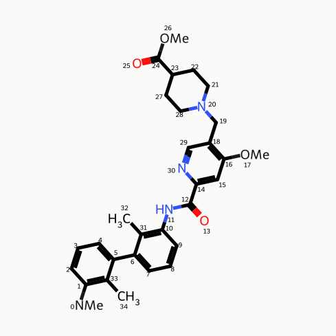 CNc1cccc(-c2cccc(NC(=O)c3cc(OC)c(CN4CCC(C(=O)OC)CC4)cn3)c2C)c1C